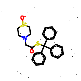 O=C(CN1CC[S+]([O-])CC1)SC(c1ccccc1)(c1ccccc1)c1ccccc1